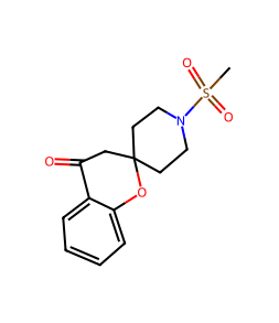 CS(=O)(=O)N1CCC2(CC1)CC(=O)c1ccccc1O2